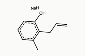 C=CCc1c(C)cccc1O.[NaH]